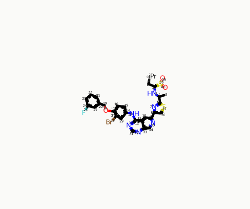 CC(C)CC(NC(C)c1nc(-c2cc3c(Nc4ccc(OCc5cccc(F)c5)c(Br)c4)ncnc3cn2)cs1)=S(=O)=O